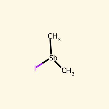 [CH3][Sb]([CH3])[I]